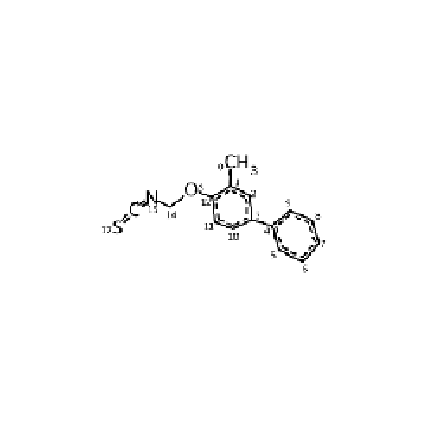 Cc1cc(-c2ccccc2)ccc1OCN=C=S